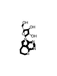 OC[C@H]1O[C@@H](n2cc3c4c(ncnc42)SCCC3)[C@@H](O)[C@@H]1O